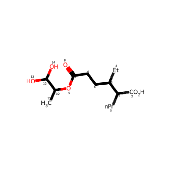 CCCC(C(=O)O)C(CC)CCC(=O)OC(C)C(O)O